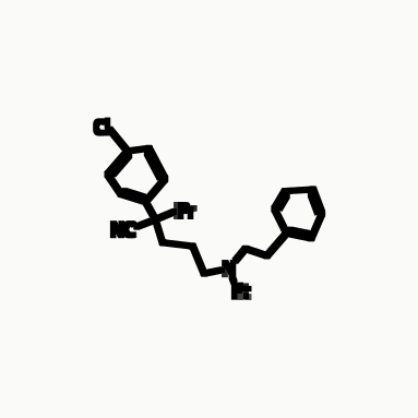 CCN(CCCC(C#N)(c1ccc(Cl)cc1)C(C)C)CCc1ccccc1